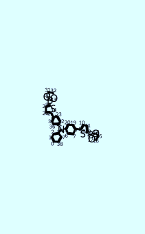 c1ccc(N(c2ccc(-c3ccc(B4OCCO4)s3)cc2)c2ccc(-c3ccc(B4OCCO4)s3)cc2)cc1